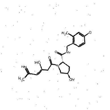 CC(=N)/C=C(\O)CC(=O)N1C[C@H](O)C[C@H]1C(=O)NCc1ccc(Cl)cc1C